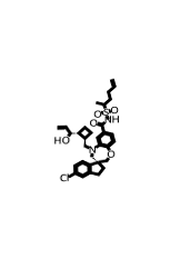 C=CCCC(C)S(=O)(=O)NC(=O)c1ccc2c(c1)N(C[C@@H]1CC[C@H]1C(O)C=C)C[C@@]1(CCc3cc(Cl)ccc31)CO2